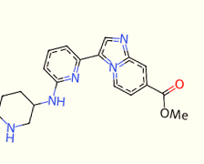 COC(=O)c1ccn2c(-c3cccc(NC4CCCNC4)n3)cnc2c1